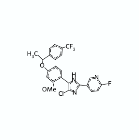 COc1cc(OC(C)c2ccc(C(F)(F)F)cc2)ccc1-c1[nH]c(-c2ccc(F)nc2)nc1Cl